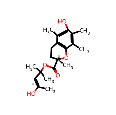 C/C(O)=C\C(C)(C)OC(=O)[C@]1(C)CCc2c(C)c(O)c(C)c(C)c2O1